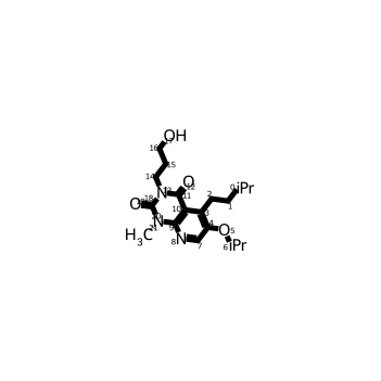 CC(C)CCc1c(OC(C)C)cnc2c1c(=O)n(CCCO)c(=O)n2C